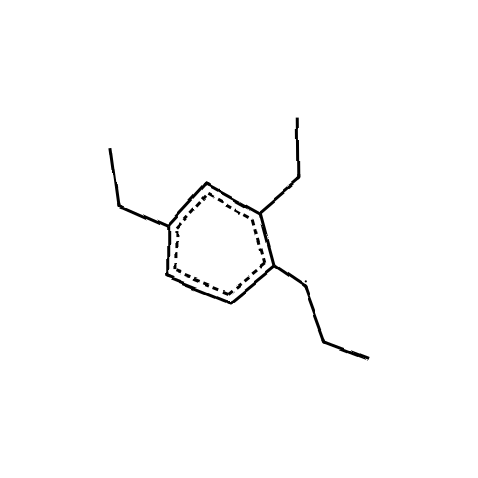 CC[CH]c1ccc(CC)cc1CC